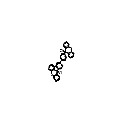 ClC1(c2ccc(-c3ccc(C4(Cl)c5ccccc5Sc5ccccc54)cc3)cc2)c2ccccc2Sc2ccccc21